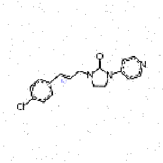 O=C1N(C/C=C/c2ccc(Cl)cc2)CCN1c1ccncc1